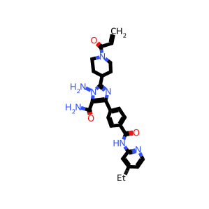 C=CC(=O)N1CCC(c2nc(-c3ccc(C(=O)Nc4cc(CC)ccn4)cc3)c(C(N)=O)n2N)CC1